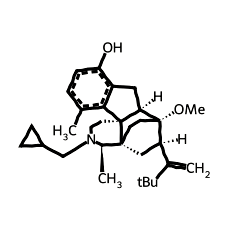 C=C([C@H]1C[C@@]23CC[C@@]1(OC)[C@@H]1Cc4c(O)ccc(C)c4[C@@]12CCN(CC1CC1)[C@@H]3C)C(C)(C)C